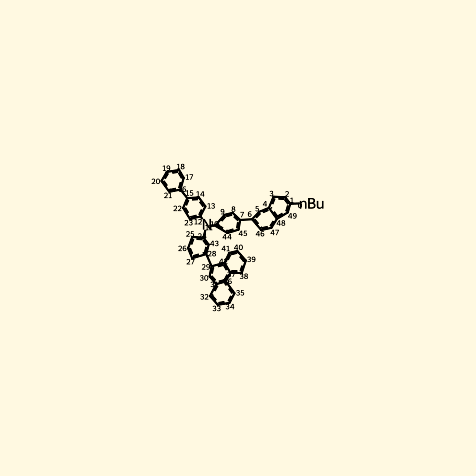 CCCCc1ccc2cc(-c3ccc(N(c4ccc(-c5ccccc5)cc4)c4cccc(-c5cc6ccccc6c6ccccc56)c4)cc3)ccc2c1